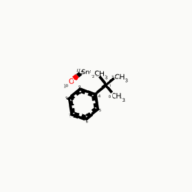 CC(C)(C)c1ccccc1.[O]=[Sn]